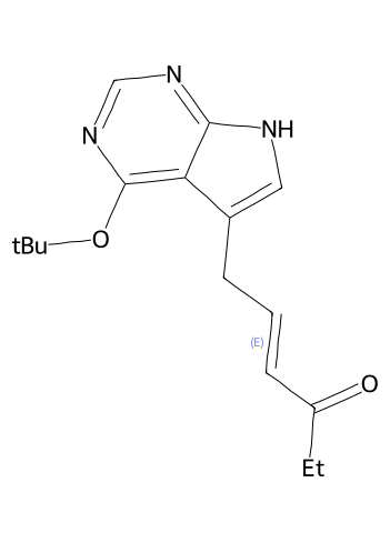 CCC(=O)/C=C/Cc1c[nH]c2ncnc(OC(C)(C)C)c12